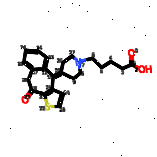 O=C(O)CCCCN1CCC(=C2c3ccccc3CC(=O)c3sccc32)CC1